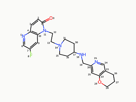 O=c1ccc2ncc(F)cc2n1CCN1CCC(NCc2cc3c(cn2)CCCO3)CC1